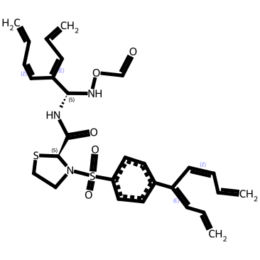 C=C/C=C\C(=C/C=C)c1ccc(S(=O)(=O)N2CCS[C@H]2C(=O)N[C@@H](NOC=O)C(/C=C\C=C)=C/C=C)cc1